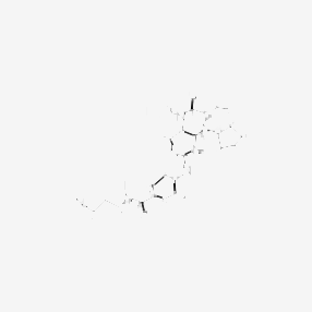 CC[C@@H]1C(=O)N(C)c2cnc(Nc3ccc(C(=O)NCCCN)cc3)nc2N1C1CCCC1